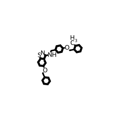 Cc1ccccc1COc1ccc(CNc2nsc3ccc(OCc4ccccc4)cc23)cc1